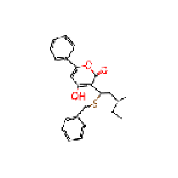 CCC(C)CC(SCc1ccccc1)c1c(O)cc(-c2ccccc2)oc1=O